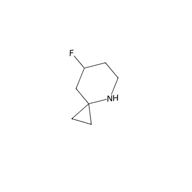 FC1CCNC2(CC2)C1